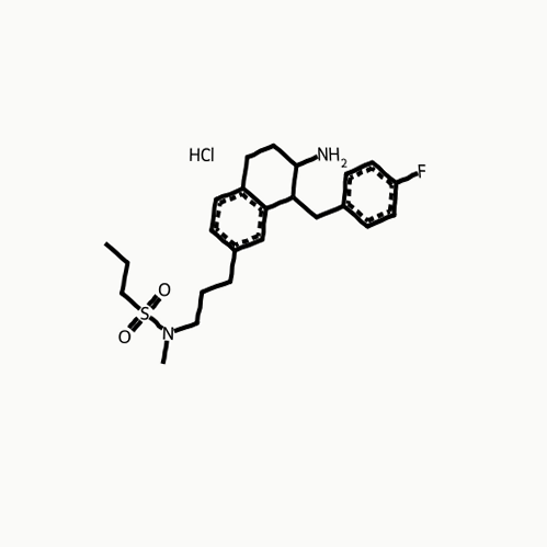 CCCS(=O)(=O)N(C)CCCc1ccc2c(c1)C(Cc1ccc(F)cc1)C(N)CC2.Cl